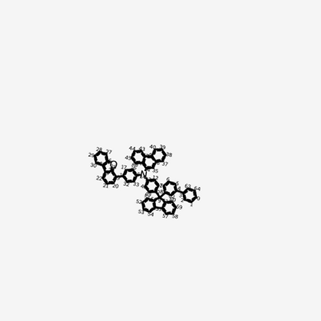 c1ccc(-c2cccc(C3(c4ccc(N(c5ccc(-c6cccc7c6oc6ccccc67)cc5)c5cc6ccccc6c6ccccc56)cc4)c4ccccc4-c4ccccc43)c2)cc1